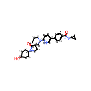 O=C(NC1CC1)c1ccc(-c2ccc(N3CCC[C@@]4(CCN(C5CCC(O)CC5)C4=O)C3)nc2)cc1